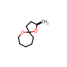 C=C1CCC2(CCCCCO2)O1